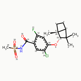 CC1(C)C2CC[C@@]2(C)[C@H]1Oc1cc(F)c(C(=O)NS(C)(=O)=O)cc1Cl